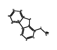 CC(C)Cc1cccc2c1Cc1ccccc1-2